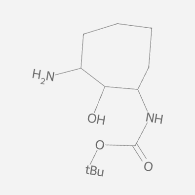 CC(C)(C)OC(=O)NC1CCCCC(N)C1O